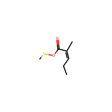 CCC=C(C)C(=O)OSC